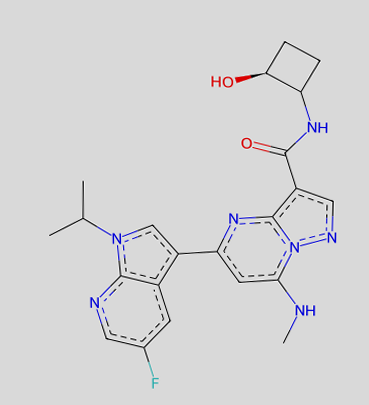 CNc1cc(-c2cn(C(C)C)c3ncc(F)cc23)nc2c(C(=O)NC3CC[C@@H]3O)cnn12